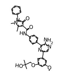 COc1cc(OCC(C)(C)O)cc(-c2cnc(N)c(-c3ccc(NC(=O)c4c(C)n(C)n(-c5ccccc5)c4=O)cc3)n2)c1